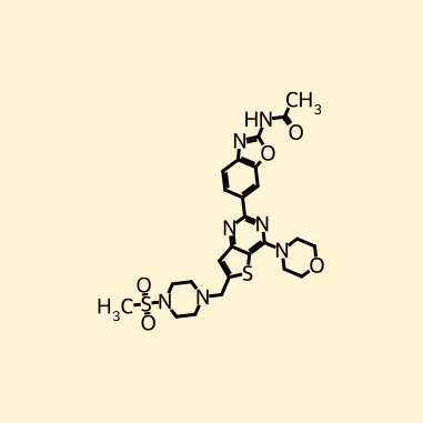 CC(=O)Nc1nc2ccc(-c3nc(N4CCOCC4)c4sc(CN5CCN(S(C)(=O)=O)CC5)cc4n3)cc2o1